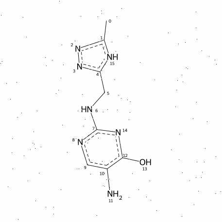 Cc1nnc(CNc2ncc(N)c(O)n2)[nH]1